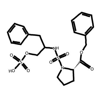 O=C(OCc1ccccc1)[C@@H]1CCCN1S(=O)(=O)NC(COS(=O)(=O)O)Cc1ccccc1